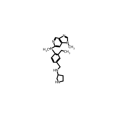 CCc1cc(CNC2CCNC2)ccc1N(C)c1cc2c(cn1)ncn2C